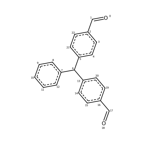 O=Cc1ccc(C(c2ccccc2)c2ccc(C=O)cc2)cc1